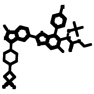 CCOC(=O)[C@@H](OC(C)(C)C)c1c(C)cc2nc(-c3ccc4c(c3)c(C3CCN(C5CS(=O)(=O)C5)CC3)nn4C)sc2c1-c1ccc(Cl)cc1